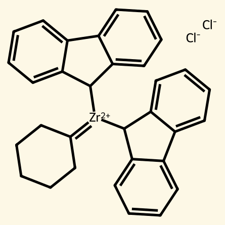 [Cl-].[Cl-].c1ccc2c(c1)-c1ccccc1[CH]2[Zr+2](=[C]1CCCCC1)[CH]1c2ccccc2-c2ccccc21